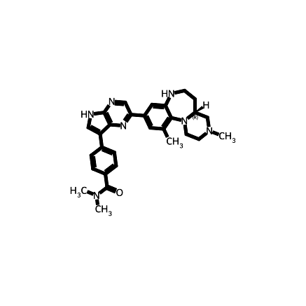 Cc1cc(-c2cnc3[nH]cc(-c4ccc(C(=O)N(C)C)cc4)c3n2)cc2c1N1CCN(C)C[C@H]1CCN2